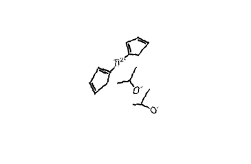 C1=CC[C]([Ti+2][C]2=CC=CC2)=C1.CC(C)[O-].CC(C)[O-]